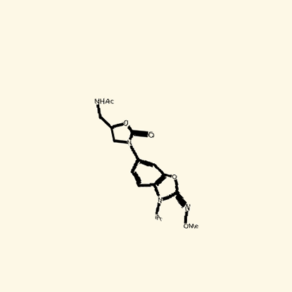 CON=c1oc2cc(N3CC(CNC(C)=O)OC3=O)ccc2n1C(C)C